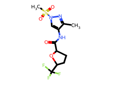 Cc1nn(S(C)(=O)=O)cc1NC(=O)C1CCC(C(F)(F)F)O1